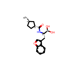 CCC[C@@H]1CC[C@@H](C(=O)N[C@@H](Cc2coc3ccccc23)B(O)O)C1